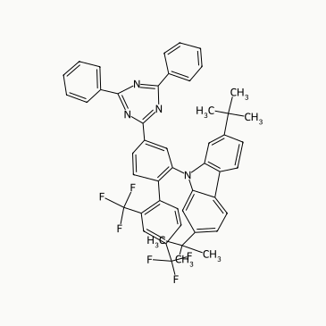 CC(C)(C)c1ccc2c3ccc(C(C)(C)C)cc3n(-c3cc(-c4nc(-c5ccccc5)nc(-c5ccccc5)n4)ccc3-c3ccc(C(F)(F)F)cc3C(F)(F)F)c2c1